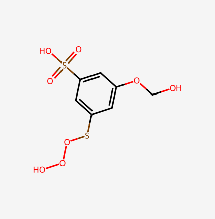 O=S(=O)(O)c1cc(OCO)cc(SOOO)c1